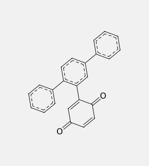 O=C1C=CC(=O)C(c2cc(-c3ccccc3)ccc2-c2ccccc2)=C1